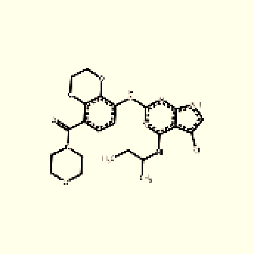 CCC(C)Nc1nc(Nc2ccc(C(=O)N3CCOCC3)c3c2OCCO3)nc2[nH]cc(Cl)c12